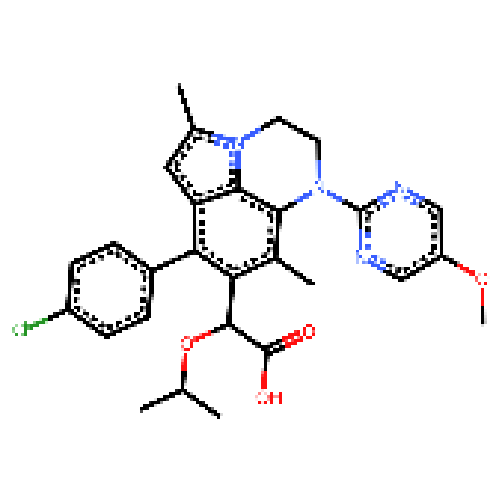 COc1cnc(N2CCn3c(C)cc4c(-c5ccc(Cl)cc5)c(C(OC(C)C)C(=O)O)c(C)c2c43)nc1